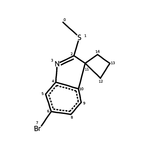 CSC1=Nc2cc(Br)ccc2C12CCC2